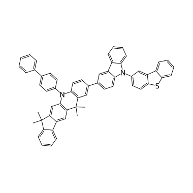 CC1(C)c2ccccc2-c2cc3c(cc21)N(c1ccc(-c2ccccc2)cc1)c1ccc(-c2ccc4c(c2)c2ccccc2n4-c2ccc4sc5ccccc5c4c2)cc1C3(C)C